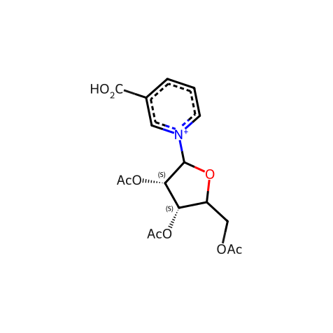 CC(=O)OCC1OC([n+]2cccc(C(=O)O)c2)[C@@H](OC(C)=O)[C@H]1OC(C)=O